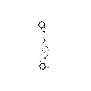 Cc1cccc(C)c1NC(=O)CN1CCN(CC(O)COc2nc3ccccc3s2)CC1